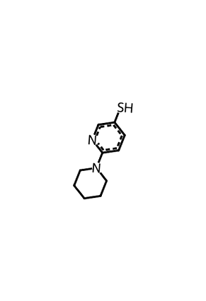 Sc1ccc(N2CCCCC2)nc1